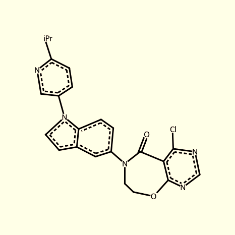 CC(C)c1ccc(-n2ccc3cc(N4CCOc5ncnc(Cl)c5C4=O)ccc32)cn1